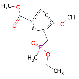 CCOP(C)(=O)Cc1cc(C(=O)OC)ccc1OC